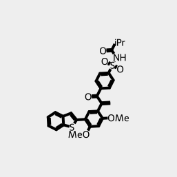 C=C(C(=O)c1ccc(S(=O)(=O)NC(=O)C(C)C)cc1)c1cc(-c2cc3ccccc3s2)c(OC)cc1OC